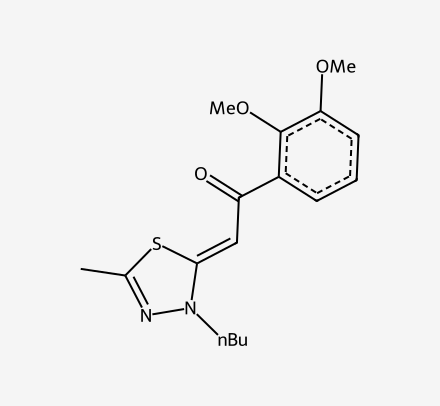 CCCCN1N=C(C)S/C1=C\C(=O)c1cccc(OC)c1OC